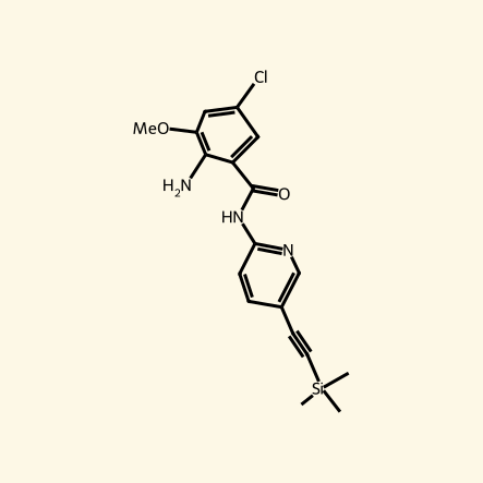 COc1cc(Cl)cc(C(=O)Nc2ccc(C#C[Si](C)(C)C)cn2)c1N